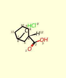 Cl.O=C(O)[C@@H]1CC2CCC1CC2